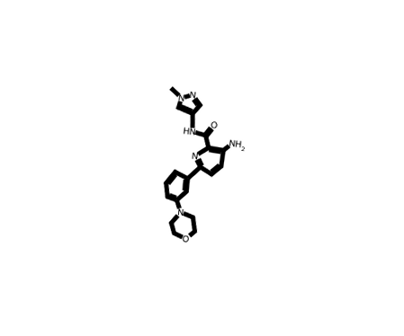 Cn1cc(NC(=O)c2nc(-c3cccc(N4CCOCC4)c3)ccc2N)cn1